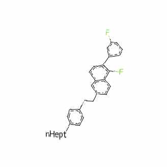 CCCCCCCc1ccc(CCc2ccc3c(F)c(-c4cccc(F)c4)ccc3c2)cc1